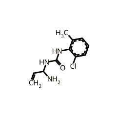 C=CC(N)NC(=O)Nc1c(C)cccc1Cl